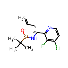 C=CC[C@@H](N[S+]([O-])C(C)(C)C)c1nccc(Cl)c1F